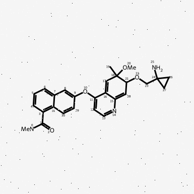 CNC(=O)c1cccc2cc(Oc3ccnc4c3=CC(C)(OC)C(OCC3(N)CC3)C=4)ccc12